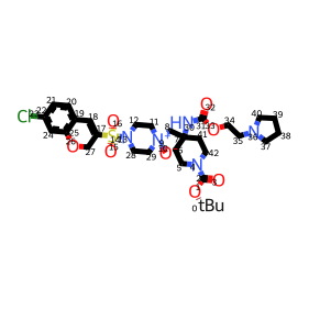 CC(C)(C)OC(=O)N1CCC(C[N+]2([O-])CCN(S(=O)(=O)C3=Cc4ccc(Cl)cc4OC3)CC2)(NC(=O)OCCN2CCCC2)CC1